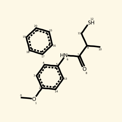 COc1ccc(NC(=O)C(C)CS)cc1.c1ccccc1